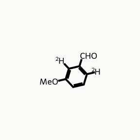 [2H]c1ccc(OC)c([2H])c1C=O